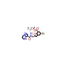 CC(OC(=O)c1cc(Br)cc2cc(CNC(=O)c3cnn4cccnc34)oc12)C(F)(F)F